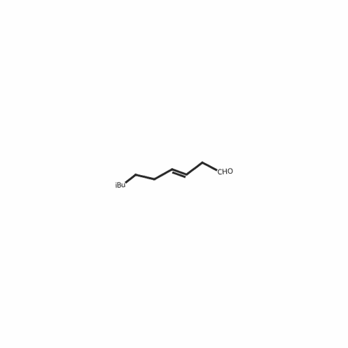 CCC(C)CCC=CCC=O